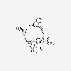 COC(=O)C1Cc2c3ccc(Cl)c2-c2c(nn(C)c2C)CSCc2cc(n(C)n2)CSc2cc(c4ccccc4c2)OCCCN31